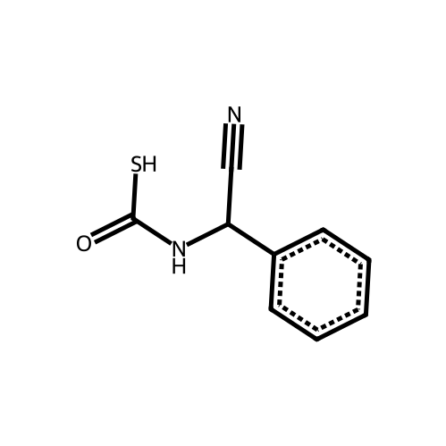 N#CC(NC(=O)S)c1ccccc1